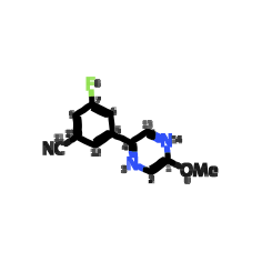 COc1cnc(-c2cc(F)cc(C#N)c2)[c]n1